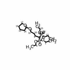 CCOP(=O)(OCC)C(CCCOC1CCCCO1)P(=O)(OCC)OCC